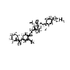 COc1ccc(CC[N+](C)(C)C[C@@H](O)COc2ccc(C(=O)N3CCCCC3)cc2C#N)cc1